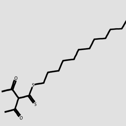 CCCCCCCCCCCCSC(=S)C(C(C)=O)C(C)=O